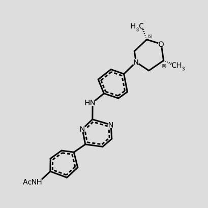 CC(=O)Nc1ccc(-c2ccnc(Nc3ccc(N4C[C@@H](C)O[C@@H](C)C4)cc3)n2)cc1